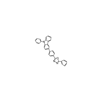 c1ccc(-c2nnc(-c3ccc(-c4ccc5c(c4)c4ccccc4n5-c4ccccc4)cc3)o2)cc1